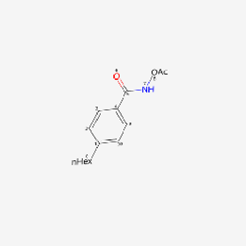 CCCCCCc1ccc(C(=O)NOC(C)=O)cc1